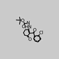 CN(NC1=C(C(=O)c2ccccc2Cl)C(=O)CCC1)C(=O)OC(C)(C)C